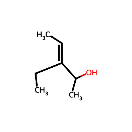 C/C=C(\CC)C(C)O